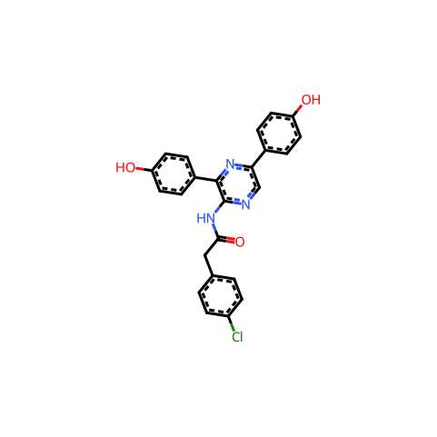 O=C(Cc1ccc(Cl)cc1)Nc1ncc(-c2ccc(O)cc2)nc1-c1ccc(O)cc1